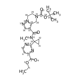 CCOC(=O)c1ccnc(C2(N(C)C(=O)c3cnn4c3CN(C(=O)OC(C)(C)C)CC4)CC2)n1